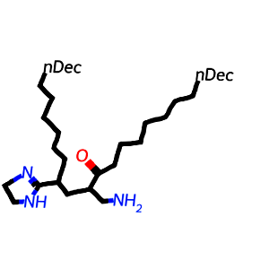 CCCCCCCCCCCCCCCCCC(=O)C(CN)CC(CCCCCCCCCCCCCCCC)C1=NCCN1